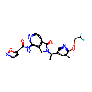 Cc1cc(C(C)N2Cc3c(ccnc3NC(=O)c3ccno3)C2=O)cnc1OCC(F)F